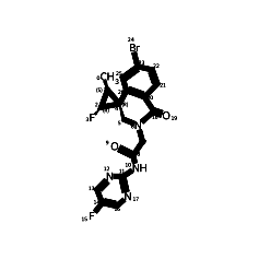 C[C@@H]1[C@@H](F)[C@]12CN(CC(=O)Nc1ncc(F)cn1)C(=O)c1ccc(Br)cc12